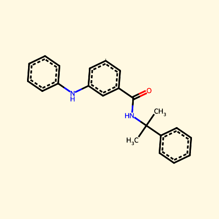 CC(C)(NC(=O)c1c[c]cc(Nc2ccccc2)c1)c1ccccc1